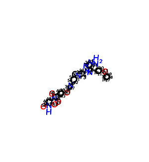 CC1(N2CCC(n3nc(-c4ccc(Oc5ccccc5)cc4)c4c(N)ncnc43)CC2)CCC(N2CC(Oc3ccc4c(c3)C(=O)N(C3CCC(=O)NC3=O)C4=O)C2)CC1